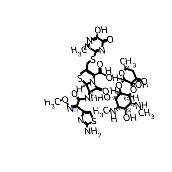 CN[C@@H]1[C@H](O)[C@H](NC)[C@H]2O[C@@]3(O)C(=O)C[C@@H](C)O[C@H]3O[C@@H]2[C@H]1O.CO/N=C(\C(=O)N[C@@H]1C(=O)N2C(C(=O)O)=C(CSc3nc(=O)c(O)nn3C)CS[C@H]12)c1csc(N)n1